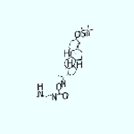 CNCCN(C)C(=O)O/N=C(\C)[C@H]1CC[C@H]2[C@@H]3CCC4=C[C@H](O[Si](C)(C)C(C)(C)C)CC[C@]4(C)[C@H]3CC[C@]12C